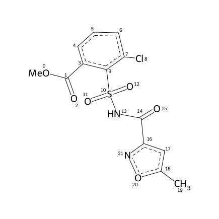 COC(=O)c1cccc(Cl)c1S(=O)(=O)NC(=O)c1cc(C)on1